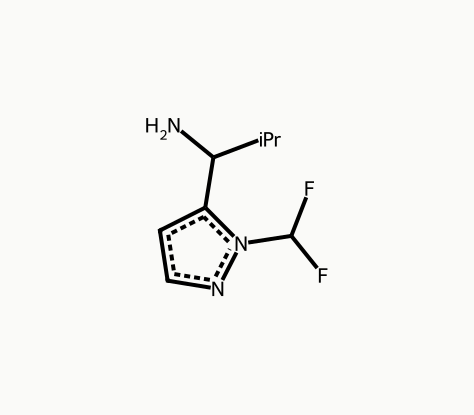 CC(C)C(N)c1ccnn1C(F)F